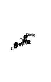 COc1ccc(Nc2nc(NCCCNc3ccnc4cc(Cl)ccc34)nc(N3CCOCC3)n2)cc1